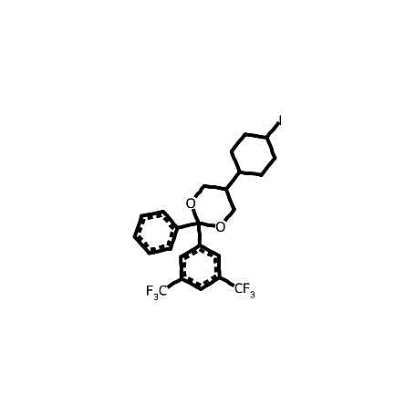 FC(F)(F)c1cc(C(F)(F)F)cc(C2(c3ccccc3)OCC(C3CCC(I)CC3)CO2)c1